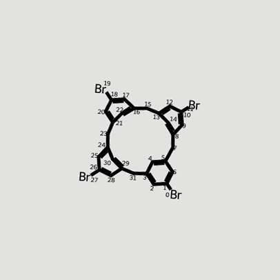 Brc1cc2cc(c1)Cc1cc(Br)cc(c1)Cc1cc(Br)cc(c1)Cc1cc(Br)cc(c1)C2